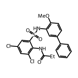 CCC(=O)Nc1c(Cl)cc(Cl)cc1S(=O)(=O)Nc1cc(-c2ccccc2)ccc1OC